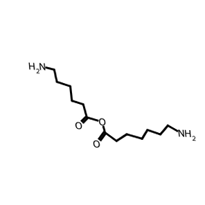 NCCCCCCC(=O)OC(=O)CCCCCN